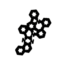 c1ccc(-c2nc3c(ccc4ccccc43)nc2-n2c3cccc4c5ccccc5n5c6ccccc6c6ccc2c(c43)c65)cc1